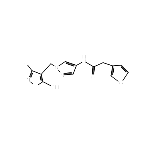 Cc1noc(C)c1Cn1cc(NC(=O)Cc2ccoc2)cn1